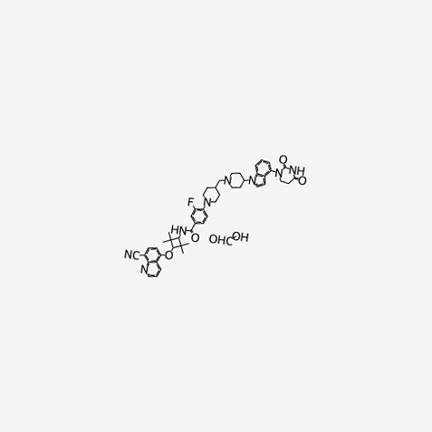 CC1(C)C(NC(=O)c2ccc(N3CCC(CN4CCC(n5ccc6c(N7CCC(=O)NC7=O)cccc65)CC4)CC3)c(F)c2)C(C)(C)C1Oc1ccc(C#N)c2ncccc12.O=CO